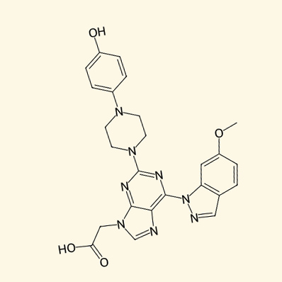 COc1ccc2cnn(-c3nc(N4CCN(c5ccc(O)cc5)CC4)nc4c3ncn4CC(=O)O)c2c1